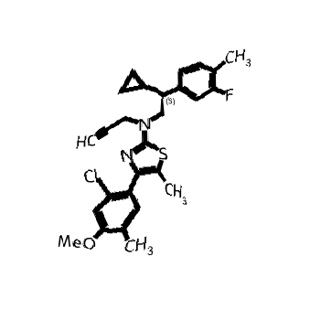 C#CCN(C[C@H](c1ccc(C)c(F)c1)C1CC1)c1nc(-c2cc(C)c(OC)cc2Cl)c(C)s1